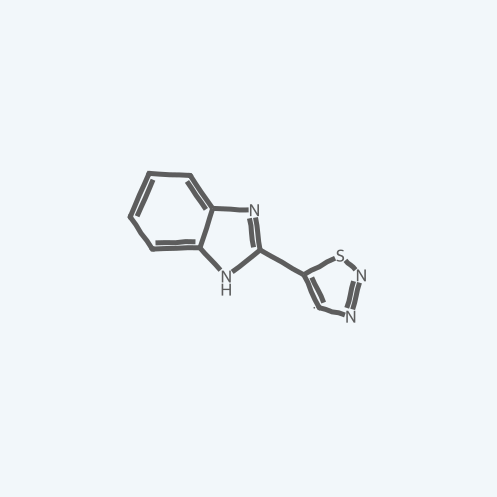 [c]1nnsc1-c1nc2ccccc2[nH]1